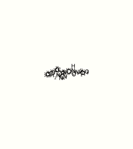 COc1ccc(CNC(=O)NC2CCC(n3cc(-c4cccc(OCc5ccccc5)c4)c4c(N)ncnc43)CC2)cc1